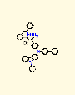 C=C(/C(CC)=C1/c2ccccc2C=C(c2ccccc2)N1N)c1ccc(N(c2ccc(-c3ccccc3)cc2)c2ccc3c(c2)c2ccccc2n3-c2ccccc2)cc1